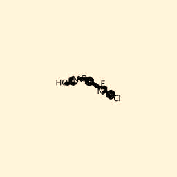 OCC1CCN(CCOc2ccc(C#Cc3ncc(-c4ccc(Cl)cc4)cc3F)cc2)CC1